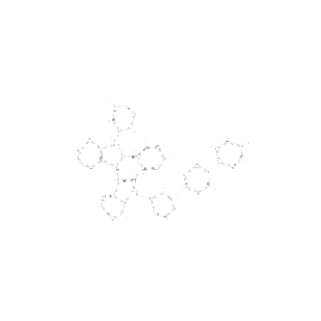 Cc1cccc(-n2c3ccccc3c3c4c5ccccc5n(-c5cccc(-c6ccc(-c7ccccc7)cc6)c5)c4c4ccccc4c32)c1